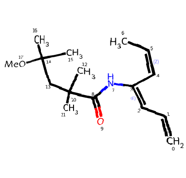 C=C/C=C(\C=C/C)NC(=O)C(C)(C)CC(C)(C)OC